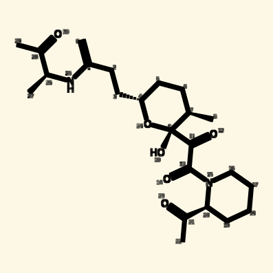 C=C(CC[C@@H]1CC[C@@H](C)[C@](O)(C(=O)C(=O)N2CCCC[C@H]2C(C)=O)O1)N[C@@H](C)C(C)=O